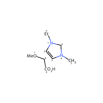 CCN1C=CN(C)C1.COCC(=O)O